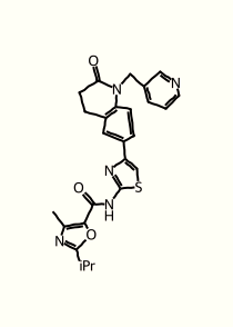 Cc1nc(C(C)C)oc1C(=O)Nc1nc(-c2ccc3c(c2)CCC(=O)N3Cc2cccnc2)cs1